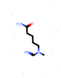 CN(C=N)CCCCC(N)=O